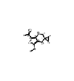 CCc1sc(C(C)=O)c2c1CC1(CC2)CC1